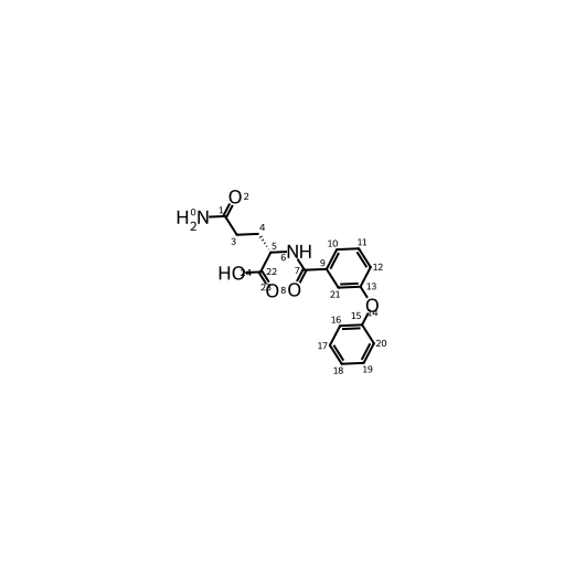 NC(=O)CC[C@H](NC(=O)c1cccc(Oc2ccccc2)c1)C(=O)O